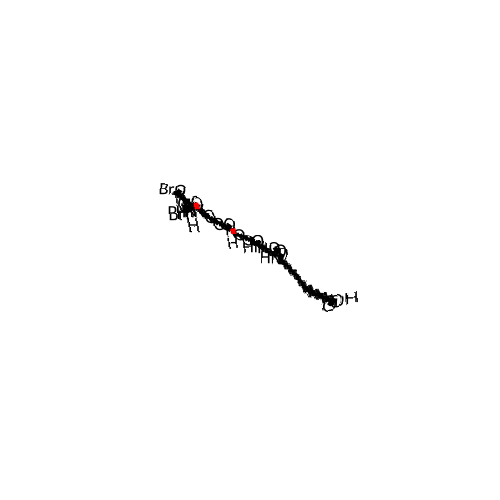 O=C(O)CCCCCCCCCCCCCCCCCCC(=O)NC(CCCCNC(=O)CCOCCOCCNC(=O)CCOCCOCCNC(=O)[C@H](CCCNC(=O)CBr)NC(=O)CBr)C(=O)O